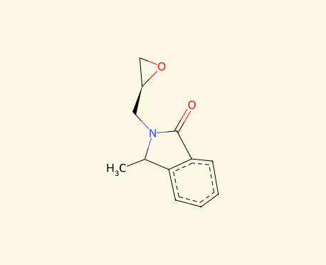 CC1c2ccccc2C(=O)N1C[C@H]1CO1